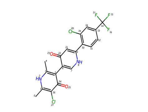 Cc1[nH]c(C)c(-c2c[nH]c(-c3ccc(C(F)(F)F)cc3Cl)cc2=O)c(=O)c1Cl